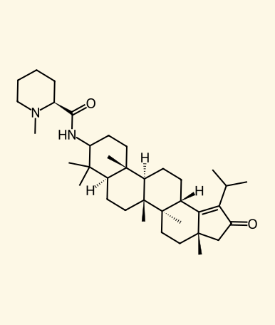 CC(C)C1=C2[C@H]3CC[C@@H]4[C@@]5(C)CCC(NC(=O)[C@@H]6CCCCN6C)C(C)(C)[C@@H]5CC[C@@]4(C)[C@]3(C)CC[C@@]2(C)CC1=O